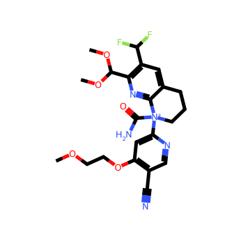 COCCOc1cc([N+]2(C(N)=O)CCCc3cc(C(F)F)c(C(OC)OC)nc32)ncc1C#N